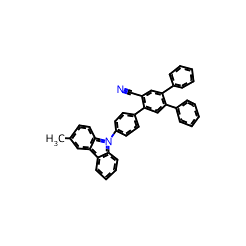 Cc1ccc2c(c1)c1ccccc1n2-c1ccc(-c2cc(-c3ccccc3)c(-c3ccccc3)cc2C#N)cc1